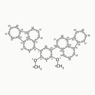 COc1cc(OC)c(-c2ccc3c4c(cccc24)-c2ccccc2-3)cc1-c1ccc2c3c(cccc13)-c1ccccc1-2